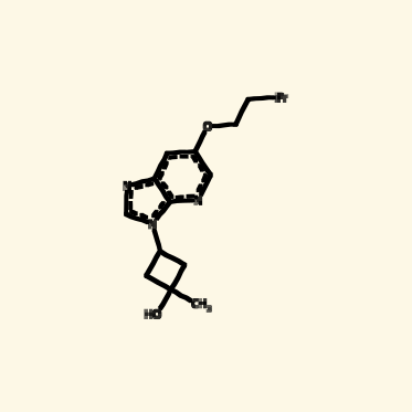 CC(C)CCOc1cnc2c(c1)ncn2C1CC(C)(O)C1